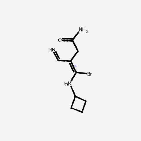 N=C/C(CC(N)=O)=C(/Br)NC1CCC1